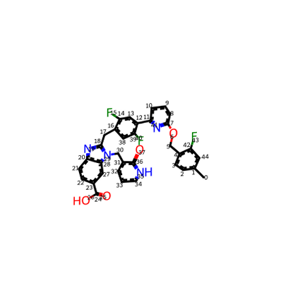 Cc1ccc(COc2cccc(-c3cc(F)c(Cc4nc5ccc(C(=O)O)cc5n4Cc4ccc[nH]c4=O)cc3F)n2)c(F)c1